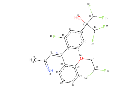 CC(=N)/C=C(/c1ccc(C(O)(C(F)F)C(F)F)cc1F)c1ccccc1OCC(F)F